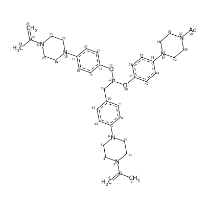 C=C(C)N1CCN(c2ccc(CP(Oc3ccc(N4CCN(C(=C)C)CC4)cc3)Oc3ccc(N4CCN(C(C)=O)CC4)cc3)cc2)CC1